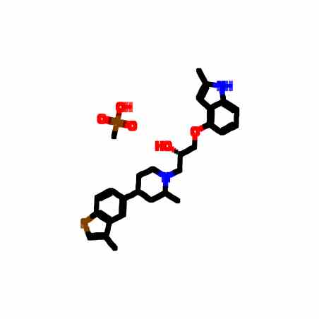 CS(=O)(=O)O.Cc1cc2c(OC[C@@H](O)CN3CCC(c4ccc5scc(C)c5c4)CC3C)cccc2[nH]1